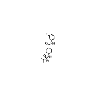 CC(C)S(=O)(=O)NC1CCC(C(=O)Nc2cccc(F)c2)CC1